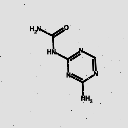 NC(=O)Nc1ncnc(N)n1